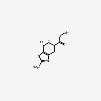 CC(C)(C)OC(=O)C1Cc2nc(C(=O)O)oc2CN1.[LiH]